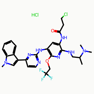 CC(CNc1nc(OCC(F)(F)F)c(Nc2nccc(-c3cn(C)c4ccccc34)n2)cc1NC(=O)CCCl)N(C)C.Cl